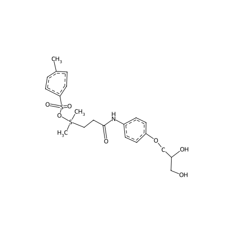 Cc1ccc(S(=O)(=O)OS(C)(C)CCC(=O)Nc2ccc(OCC(O)CO)cc2)cc1